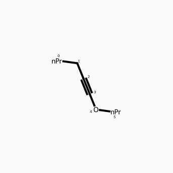 [CH2]CCCC#COCCC